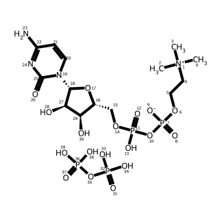 C[N+](C)(C)CCOP(=O)([O-])OP(=O)(O)OC[C@H]1O[C@@H](n2ccc(N)nc2=O)[C@H](O)[C@@H]1O.O=P(O)(O)OP(=O)(O)O